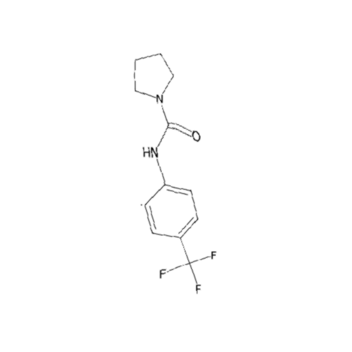 O=C(Nc1[c]cc(C(F)(F)F)cc1)N1CCCC1